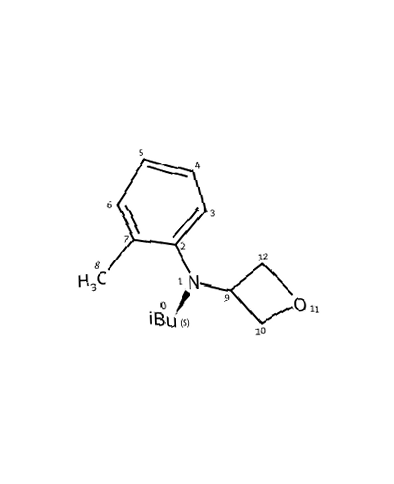 CC[C@H](C)N(c1ccccc1C)C1COC1